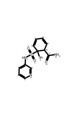 CC(C)C1(S(=O)(=O)Nc2cccnc2)C=CC=CC1C(N)=O